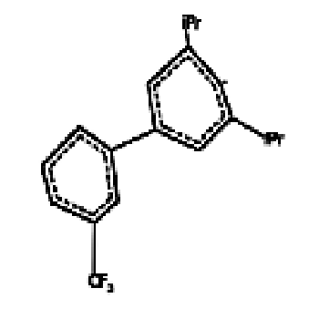 CC(C)c1[c]c(C(C)C)cc(-c2cccc(C(F)(F)F)c2)c1